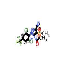 CC(=O)Nc1c(S(C)(=O)=O)c(C#N)nn1-c1c(Cl)cc(C(F)(F)F)cc1Cl